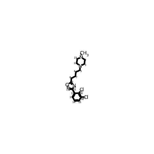 CN1CCN(CCCCc2nc(-c3cccc(Cl)c3Cl)no2)CC1